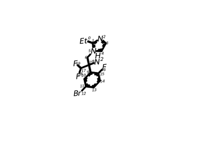 CCc1nccn1CC(N)(c1cc(Br)ccc1F)C(F)F